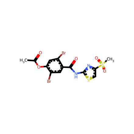 CC(=O)Oc1cc(Br)c(C(=O)Nc2nc(S(C)(=O)=O)cs2)cc1Br